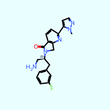 Cn1nccc1-c1ccc2c(n1)CN([C@H](CN)Cc1cccc(F)c1)C2=O